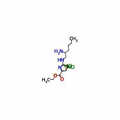 CCCCC(N)CNc1nc(C(=O)OCC)cs1.Cl.Cl